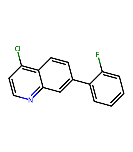 Fc1ccccc1-c1ccc2c(Cl)ccnc2c1